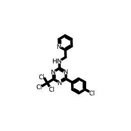 Clc1ccc(-c2nc(NCc3ccccn3)nc(C(Cl)(Cl)Cl)n2)cc1